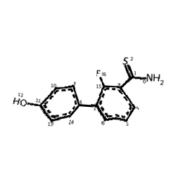 NC(=S)c1cccc(-c2ccc(O)cc2)c1F